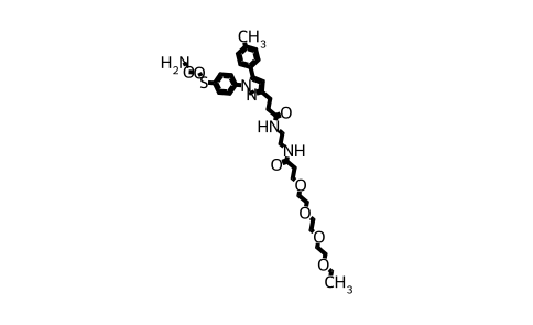 CCOCCOCCOCCOCCC(=O)NCCNC(=O)CCc1cc(-c2ccc(C)cc2)n(-c2ccc(SOON)cc2)n1